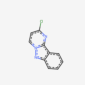 Clc1ccn2nc3ccccc3c2n1